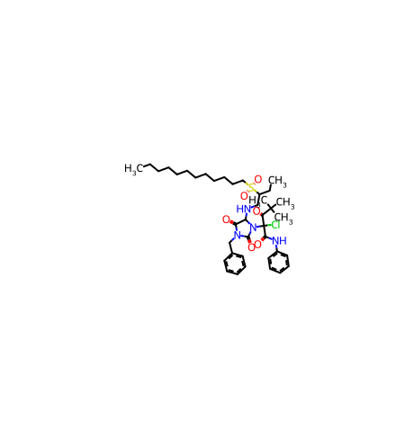 CCCCCCCCCCCCS(=O)(=O)C(CC)CNC1C(=O)N(Cc2ccccc2)C(=O)N1C(Cl)(C(=O)Nc1ccccc1)C(=O)C(C)(C)C